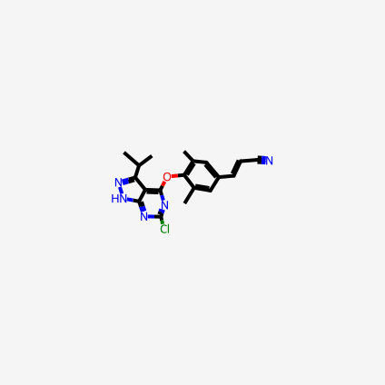 Cc1cc(/C=C/C#N)cc(C)c1Oc1nc(Cl)nc2[nH]nc(C(C)C)c12